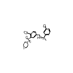 C[C@@H](NCc1ccc(Cl)c(S(=O)(=O)N2CCOCC2)c1)c1cccc(Cl)c1